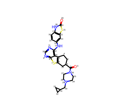 O=C(C1CCc2c(sc3ncnc(Nc4ccc5[nH]c(=O)sc5c4)c23)C1)N1CCN(CC2CC2)CC1